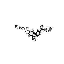 CCCNC(=O)c1ccc2c(c1)C1CC(C(=O)OCC)CC=C1N2C(C)C